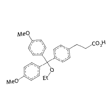 CCOC(c1ccc(CCC(=O)O)cc1)(c1ccc(OC)cc1)c1ccc(OC)cc1